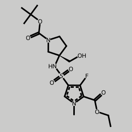 CCOC(=O)c1c(F)c(S(=O)(=O)N[C@@]2(CO)CCN(C(=O)OC(C)(C)C)C2)cn1C